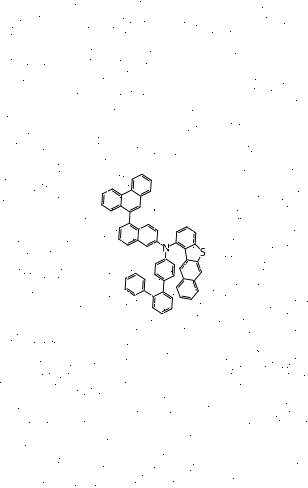 c1ccc(-c2ccccc2-c2ccc(N(c3ccc4c(-c5cc6ccccc6c6ccccc56)cccc4c3)c3cccc4sc5cc6ccccc6cc5c34)cc2)cc1